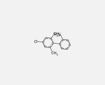 Cc1cc(Cl)cc(C)c1-c1ccccc1[SiH3]